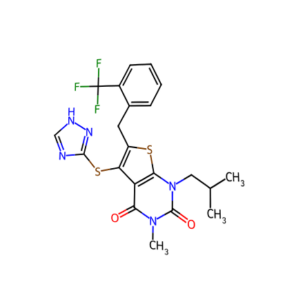 CC(C)Cn1c(=O)n(C)c(=O)c2c(Sc3nc[nH]n3)c(Cc3ccccc3C(F)(F)F)sc21